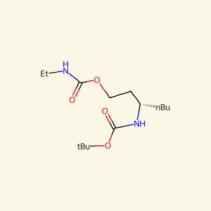 CCCC[C@@H](CCOC(=O)NCC)NC(=O)OC(C)(C)C